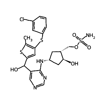 Cc1sc(C(O)c2cncnc2N[C@@H]2C[C@H](COS(N)(=O)=O)[C@@H](O)C2)cc1Sc1cccc(Cl)c1